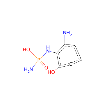 Nc1cccc(O)c1NP(N)(=O)O